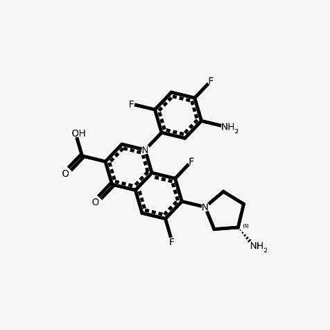 Nc1cc(-n2cc(C(=O)O)c(=O)c3cc(F)c(N4CC[C@H](N)C4)c(F)c32)c(F)cc1F